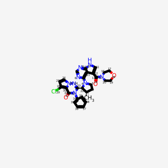 C[C@H]1CCN(c2ncnc3[nH]cc(C(=O)N4CCOCC4)c23)[C@@H]1c1nn2ccc(Cl)c2c(=O)n1-c1ccccc1